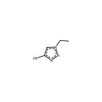 CCn1cc(S)nn1